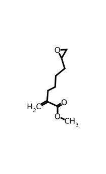 C=C(CCCCC1CO1)C(=O)OC